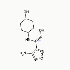 Nc1nonc1/C(=N/O)NC1CCC(O)CC1